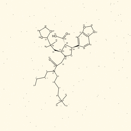 CCCCN(CCCC[N+](C)(C)C)C(=O)CN1C[C@H](c2ccc3c(c2)OCO3)[C@@H](C(=O)O)[C@@H]1CC(C)(C)C1OCCO1